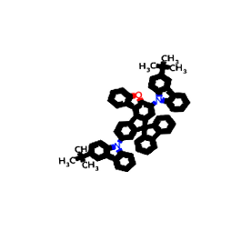 CC(C)(C)c1ccc2c(c1)c1ccccc1n2-c1ccc2c(c1)C1(c3ccccc3-c3ccccc31)c1cc(-n3c4ccccc4c4cc(C(C)(C)C)ccc43)c3oc4ccccc4c3c1-2